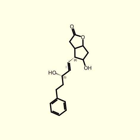 O=C1CC2C(CC(O)[C@@H]2/C=C/[C@@H](O)CCc2ccccc2)O1